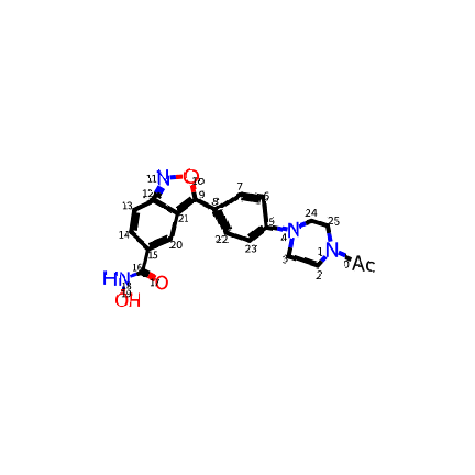 CC(=O)N1CCN(c2ccc(-c3onc4ccc(C(=O)NO)cc34)cc2)CC1